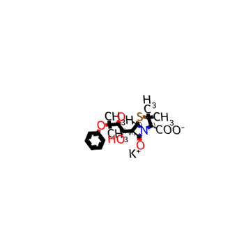 CC(C)(Oc1ccccc1)C(=O)[C@@H](O)[C@@H]1C(=O)N2[C@@H]1SC(C)(C)[C@@H]2C(=O)[O-].[K+]